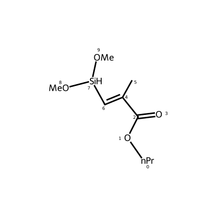 CCCOC(=O)C(C)=C[SiH](OC)OC